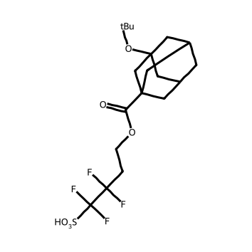 CC(C)(C)OC12CC3CC(C1)CC(C(=O)OCCC(F)(F)C(F)(F)S(=O)(=O)O)(C3)C2